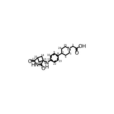 O=C(O)CN1CCC(c2ccc(NC34CC(C3)C(=O)NC4=O)cc2)CC1